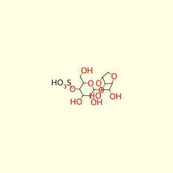 O=S(=O)(O)OC1C(CO)OC(OC2C3COC2C(O)C(O)O3)C(O)C1O